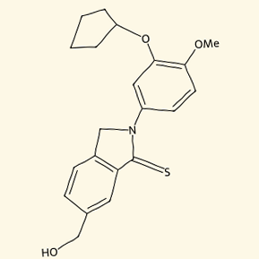 COc1ccc(N2Cc3ccc(CO)cc3C2=S)cc1OC1CCCC1